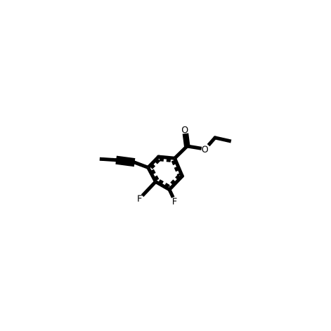 CC#Cc1cc(C(=O)OCC)cc(F)c1F